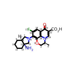 C[C@H]1COc2c(N3C[C@@H]4CCCC[C@@]4(N)C3)c(F)cc3c(=O)c(C(=O)O)cn1c23